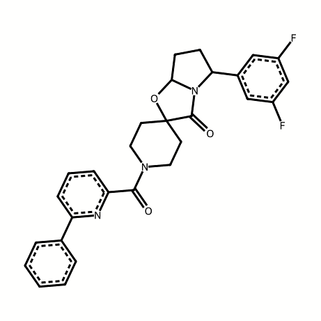 O=C(c1cccc(-c2ccccc2)n1)N1CCC2(CC1)OC1CCC(c3cc(F)cc(F)c3)N1C2=O